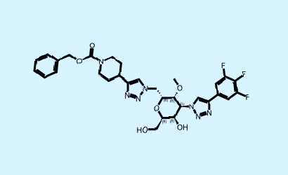 CO[C@@H]1[C@@H](n2cc(-c3cc(F)c(F)c(F)c3)nn2)[C@@H](O)[C@@H](CO)O[C@@H]1Cn1cc(C2CCN(C(=O)OCc3ccccc3)CC2)nn1